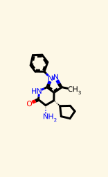 Cc1nn(-c2ccccc2)c2c1[C@H](C1CCCC1)[C@H](N)C(=O)N2